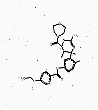 CC1[C@@](C)(C(=O)N2CCOCC2)SC(N)=N[C@]1(C)c1cc(NC(=O)c2cnc(OCC(F)(F)F)cn2)ccc1F